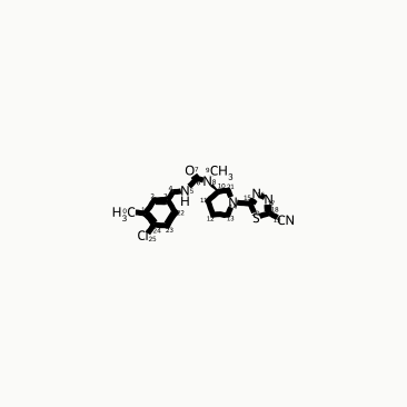 Cc1cc(CNC(=O)N(C)[C@@H]2CCCN(c3nnc(C#N)s3)C2)ccc1Cl